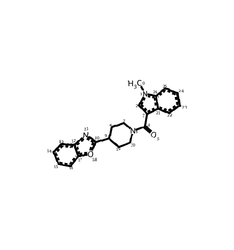 Cn1cc(C(=O)N2CCC(c3nc4ccccc4o3)CC2)c2ccccc21